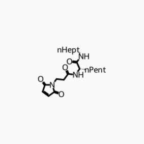 CCCCCCCNC(=O)[C@H](CCCCC)NC(=O)CCN1C(=O)C=CC1=O